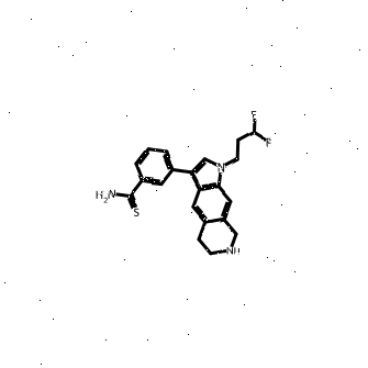 NC(=S)c1cccc(-c2cn(CCC(F)F)c3cc4c(cc23)CCNC4)c1